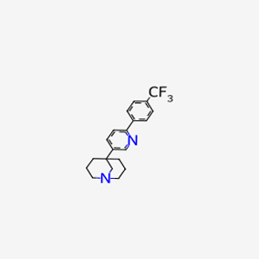 FC(F)(F)c1ccc(-c2ccc(C34CCCN(CCC3)C4)cn2)cc1